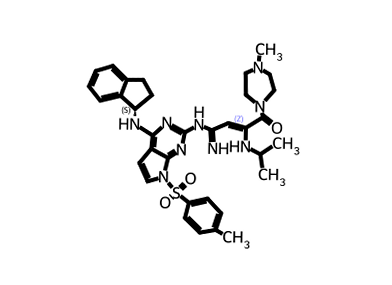 Cc1ccc(S(=O)(=O)n2ccc3c(N[C@H]4CCc5ccccc54)nc(NC(=N)/C=C(\NC(C)C)C(=O)N4CCN(C)CC4)nc32)cc1